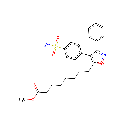 COC(=O)CCCCCCCc1onc(-c2ccccc2)c1-c1ccc(S(N)(=O)=O)cc1